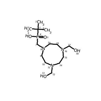 CC(C)(C)P(=O)(O)CN1CCN(CO)CCN(CO)CC1